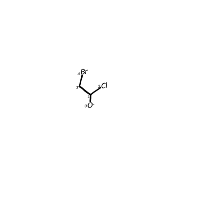 [O]C(Cl)CBr